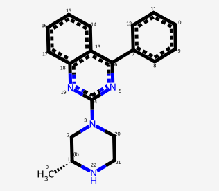 C[C@@H]1CN(c2nc(-c3ccccc3)c3ccccc3n2)CCN1